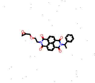 CC(c1ccccc1)N1C(=O)c2ccc3c4c(ccc(c24)C1=O)C(=O)N(CCOCC1CO1)C3=O